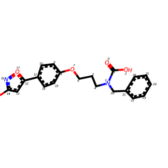 O=C(O)N(CCCOc1ccc(-c2cc(O)no2)cc1)Cc1ccccc1